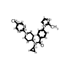 Cc1nccn1-c1ccc(C(=O)N(C2CC2)C2CCN(c3ncc(Cl)cn3)CC2)cc1